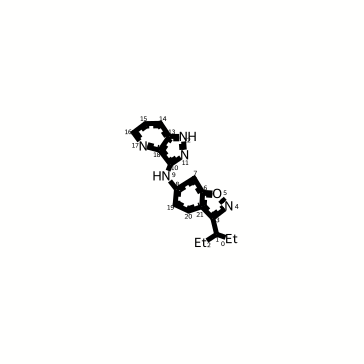 CCC(CC)c1noc2cc(Nc3n[nH]c4cccnc34)ccc12